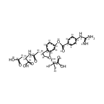 N=C(N)Nc1ccc(C(=O)Oc2ccc3c(c2)OC[C@@H]3CC(=O)N[C@@H](CC(=O)O)C(=O)O)cc1.O=C(O)C(F)(F)F